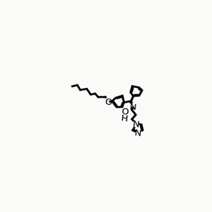 CCCCCCCCOc1ccc(/C(=N\CCCn2ccnc2)c2ccccc2)c(O)c1